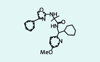 COc1ccc(C(NC(=O)C(C)(C)Nc2nc(-c3ccccc3)co2)C2CCCCC2)nc1